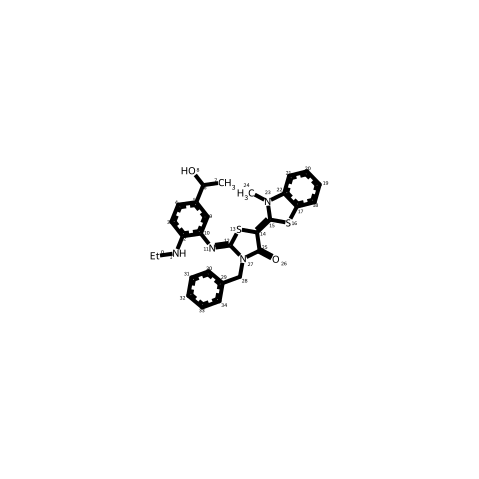 CCNc1ccc(C(C)O)cc1N=C1SC(=C2Sc3ccccc3N2C)C(=O)N1Cc1ccccc1